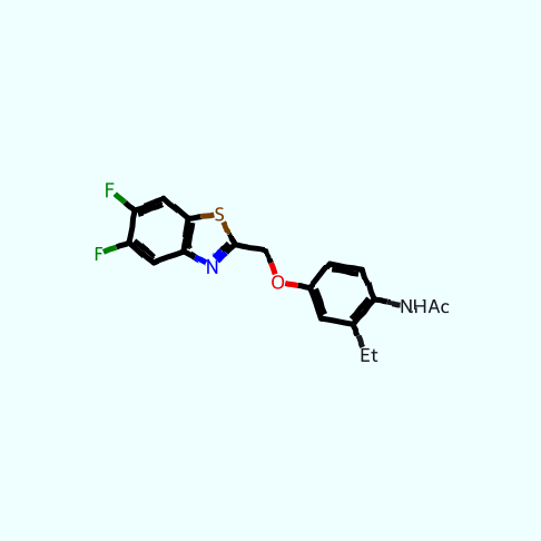 CCc1cc(OCc2nc3cc(F)c(F)cc3s2)ccc1NC(C)=O